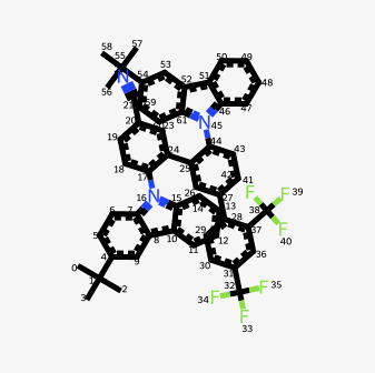 CC(C)(C)c1ccc2c(c1)c1ccccc1n2-c1ccc(C#N)cc1-c1cc(-c2ccc(C(F)(F)F)cc2C(F)(F)F)ccc1-n1c2ccccc2c2cc(C(C)(C)C)ccc21